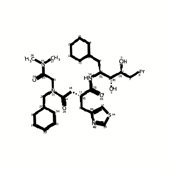 CC(C)C[C@H](O)[C@H](O)[C@H](CC1CCCCC1)NC(=O)[C@@H](CC(=O)N(CC(=O)N(C)C)CC1CCCCC1)Cc1cscn1